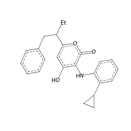 CCC(Cc1ccccc1)c1cc(O)c(Nc2ccccc2C2CC2)c(=O)o1